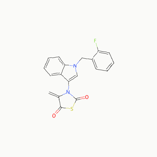 C=C1C(=O)SC(=O)N1c1cn(Cc2ccccc2F)c2ccccc12